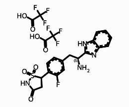 N[C@@H](Cc1ccc(C2CC(=O)NS2(=O)=O)c(F)c1)c1nc2ccccc2[nH]1.O=C(O)C(F)(F)F.O=C(O)C(F)(F)F